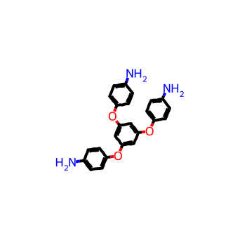 Nc1ccc(Oc2cc(Oc3ccc(N)cc3)cc(Oc3ccc(N)cc3)c2)cc1